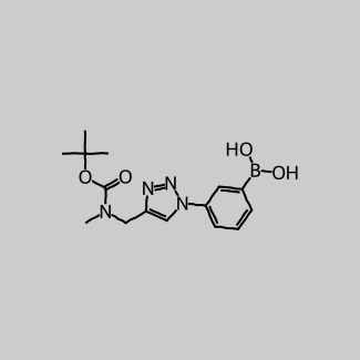 CN(Cc1cn(-c2cccc(B(O)O)c2)nn1)C(=O)OC(C)(C)C